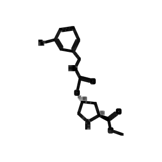 COC(=O)[C@@H]1C[C@@H](OC(=O)NCc2cccc(Br)c2)CN1